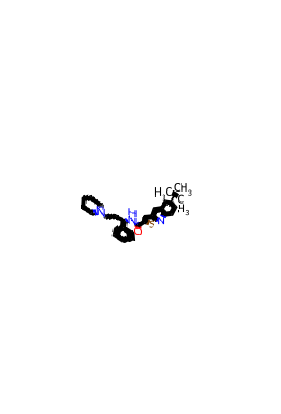 CC(C)(C)[C@H]1CCc2nc3sc(C(=O)NC(CCN4CCCCC4)c4ccccc4)cc3cc2C1